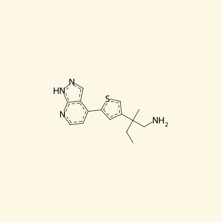 CCC(C)(CN)c1csc(-c2ccnc3[nH]ncc23)c1